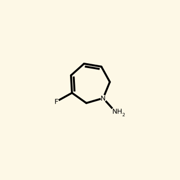 NN1CC=CC=C(F)C1